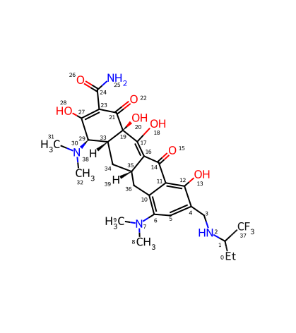 CCC(NCc1cc(N(C)C)c2c(c1O)C(=O)C1=C(O)[C@@]3(O)C(=O)C(C(N)=O)=C(O)[C@H](N(C)C)[C@H]3C[C@H]1C2)C(F)(F)F